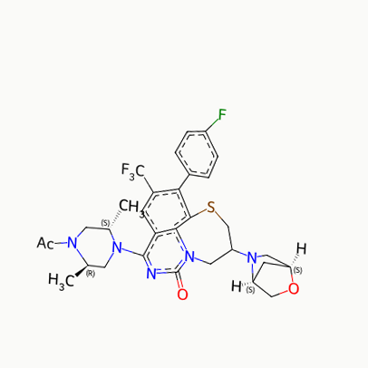 CC(=O)N1C[C@H](C)N(c2nc(=O)n3c4c(c(-c5ccc(F)cc5)c(C(F)(F)F)cc24)SCC(N2C[C@@H]4C[C@H]2CO4)C3)C[C@H]1C